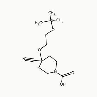 C[Si](C)(C)OCCOC1(C#N)CCN(C(=O)O)CC1